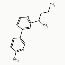 CCCN(C)c1cc(-c2cnc(N)nc2)ncn1